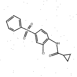 O=C(Nc1ccc(S(=O)(=O)c2ccccc2)cc1Cl)C1CC1